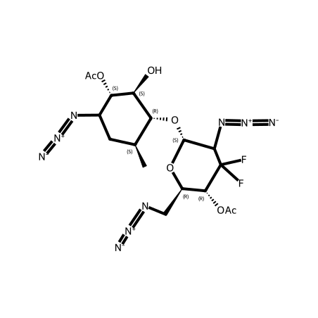 CC(=O)O[C@@H]1[C@@H](CN=[N+]=[N-])O[C@H](O[C@H]2[C@H](O)[C@@H](OC(C)=O)C(N=[N+]=[N-])C[C@@H]2C)C(N=[N+]=[N-])C1(F)F